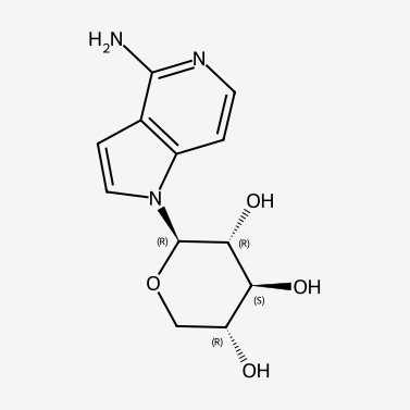 Nc1nccc2c1ccn2[C@@H]1OC[C@@H](O)[C@H](O)[C@H]1O